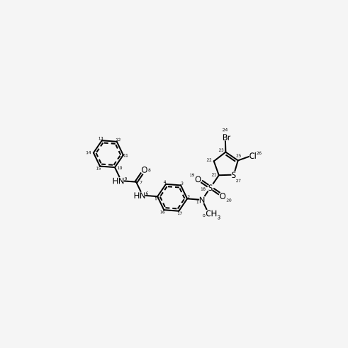 CN(c1ccc(NC(=O)Nc2ccccc2)cc1)S(=O)(=O)C1CC(Br)=C(Cl)S1